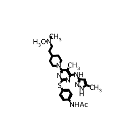 CC(=O)Nc1ccc(Sc2nc(Nc3cc(C)[nH]n3)c(C)c(N3CCC(CCN(C)C)CC3)n2)cc1